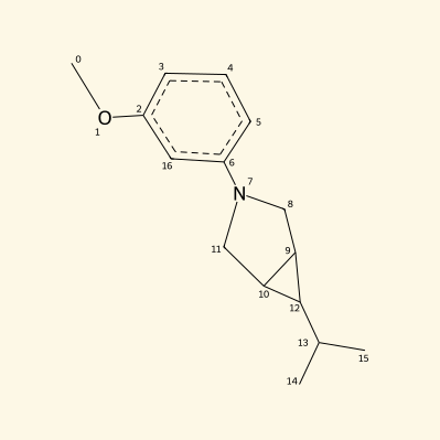 COc1cccc(N2CC3C(C2)C3C(C)C)c1